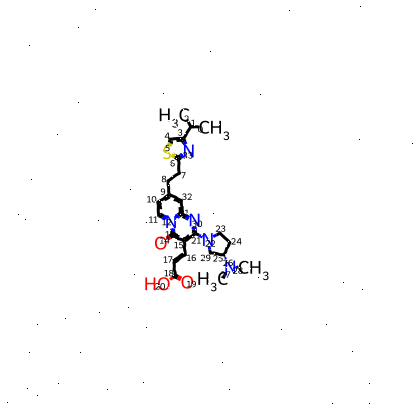 CC(C)c1csc(CCc2ccn3c(=O)c(C=CC(=O)O)c(N4CC[C@H](N(C)C)C4)nc3c2)n1